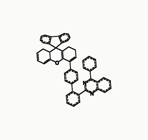 C1=CCC2C(=C1)OC1=C(CCC=C1c1ccc(-c3ccccc3-c3nc(-c4ccccc4)c4ccccc4n3)cc1)C21c2ccccc2-c2ccccc21